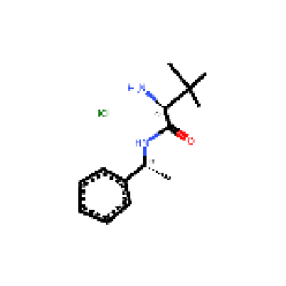 C[C@@H](NC(=O)[C@@H](N)C(C)(C)C)c1ccccc1.Cl